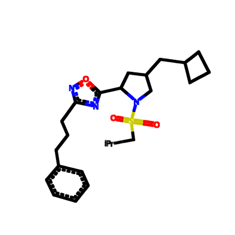 CC(C)CS(=O)(=O)N1CC(CC2CCC2)CC1c1nc(CCCc2ccccc2)no1